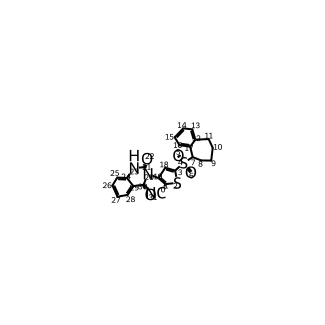 N#Cc1sc(S(=O)(=O)C2CCCCc3ccccc32)cc1-n1c(=O)[nH]c2ccccc2c1=O